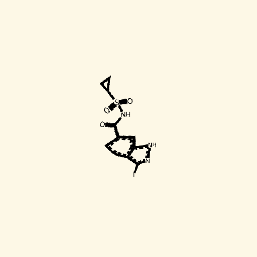 O=C(NS(=O)(=O)C1CC1)c1ccc2c(I)n[nH]c2c1